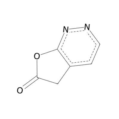 O=C1Cc2ccnnc2O1